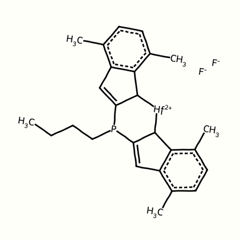 CCCCP1C2=Cc3c(C)ccc(C)c3[CH]2[Hf+2][CH]2C1=Cc1c(C)ccc(C)c12.[F-].[F-]